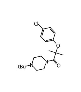 CC(C)(Oc1ccc(Cl)cc1)C(=O)N1CCN(C(C)(C)C)CC1